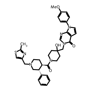 COc1ccc(-n2ccc3c(=O)n(CC4(O)CCN(C(=O)[C@@H]5CCN(Cc6csc(C)n6)C[C@H]5c5ccccc5)CC4)cnc32)cc1